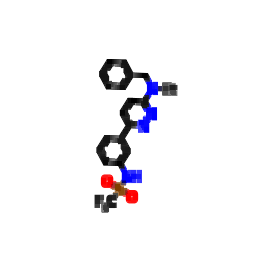 CCN(Cc1ccccc1)c1ccc(-c2cccc(NS(=O)(=O)C(F)(F)F)c2)nn1